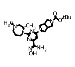 C[C@H]1CN(C)CCCN1c1nc(/C(N)=N/O)cc(N2CC3CN(C(=O)OC(C)(C)C)CC3C2)n1